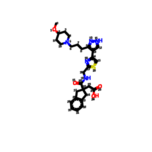 COC1CCN(CCCc2n[nH]cc2-c2csc(CNC(=O)C3(CC(=O)O)Cc4ccccc4C3)n2)CC1